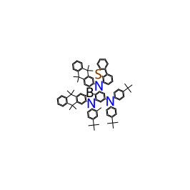 Cc1cc(C(C)(C)C)ccc1N1c2cc3c(cc2B2c4cc5c(cc4N(c4cccc6c4sc4ccccc46)c4cc(N(c6ccc(C(C)(C)C)cc6)c6ccc(C(C)(C)C)cc6)cc1c42)C(C)(C)c1ccccc1C5(C)C)C(C)(C)c1ccccc1C3(C)C